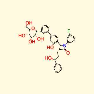 O=C1[C@H](CC[C@H](O)c2ccccc2)[C@@H](c2ccc(-c3cccc([C@@H]4O[C@H](CO)[C@@H](O)[C@H](O)[C@H]4O)c3)cc2O)N1c1cccc(F)c1